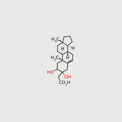 C[C@@]12CCC[C@H]1[C@@H]1CC=C3CC(O)(CC(=O)O)C(O)C[C@]3(C)[C@H]1CC2